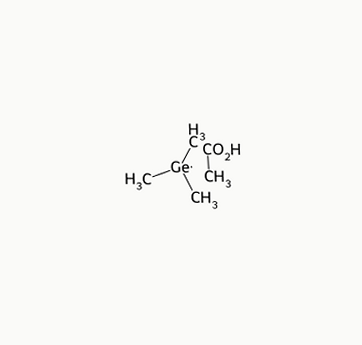 CC(=O)O.[CH3][Ge]([CH3])[CH3]